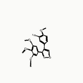 COc1ccc(-c2conc2-c2cc(OC)c(OC)c(OC)c2)cc1S